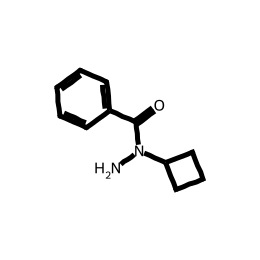 NN(C(=O)c1ccccc1)C1CCC1